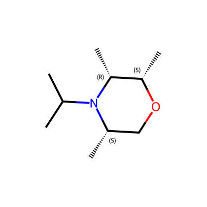 CC(C)N1[C@H](C)[C@H](C)OC[C@@H]1C